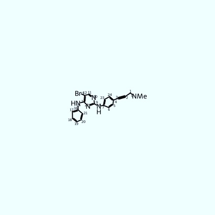 CNCC#Cc1ccc(Nc2ncc(Br)c(Nc3ccccc3)n2)cc1